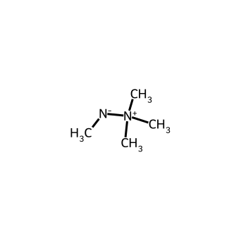 C[N-][N+](C)(C)C